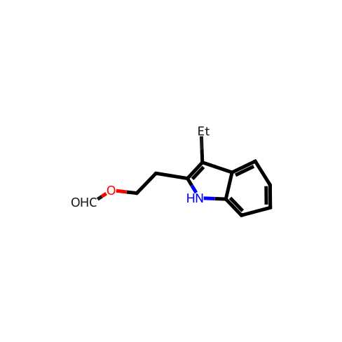 CCc1c(CCOC=O)[nH]c2ccccc12